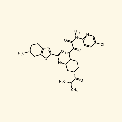 CN1CCc2nc(C(=O)N[C@@H]3C[C@@H](C(=O)N(C)C)CC[C@@H]3NC(=O)C(=O)N(C)c3ccc(Cl)cn3)sc2C1